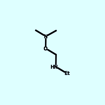 CCNCON(C)C